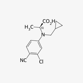 C[C@@H](C(=O)O)N(CC1CC1)c1ccc(C#N)c(Cl)c1